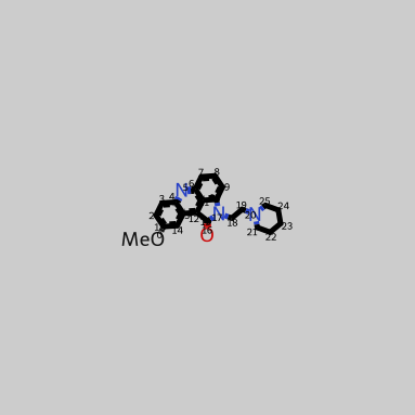 COc1ccc2nc3cccc4c3c(c2c1)C(=O)N4CCN1CCCCC1